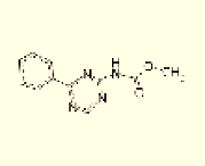 COC(=O)Nc1ncnc(-c2ccccc2)n1